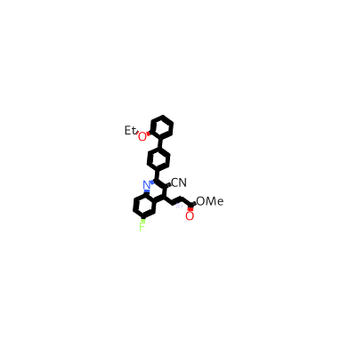 CCOc1ccccc1-c1ccc(-c2nc3ccc(F)cc3c(/C=C/C(=O)OC)c2C#N)cc1